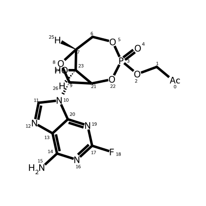 CC(=O)COP1(=O)OC[C@H]2O[C@@H](n3cnc4c(N)nc(F)nc43)C(O1)[C@H]2O